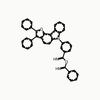 N=C(OC(=N)c1cccc(-n2c3ccccc3c3c4oc(-c5ccccc5)c(-c5ccccc5)c4ccc32)c1)c1ccccc1